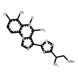 COCC(C)c1noc(-c2ncn3c2c(C)[n+]([O-])c2c(C#N)c(Cl)ccc23)n1